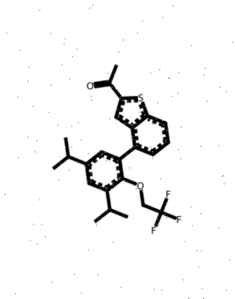 CC(=O)c1cc2c(-c3cc(C(C)C)cc(C(C)C)c3OCC(F)(F)F)cccc2s1